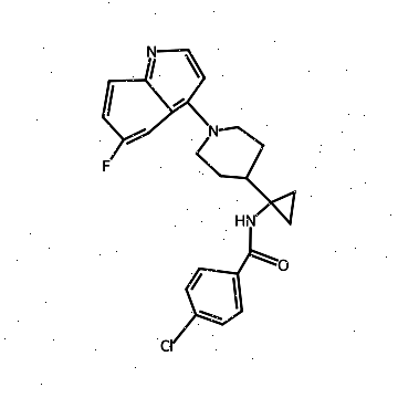 O=C(NC1(C2CCN(c3ccnc4ccc(F)cc34)CC2)CC1)c1ccc(Cl)cc1